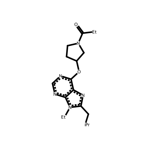 CCC(=O)N1CCC(Oc2ncnc3c2nc(CC(C)C)n3CC)C1